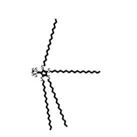 CCCCCCCCCCCCCCCCCCSC1=C(SCCCCCCCCCCCCCCCCCC)C(=C2SSSS2)C(SCCCCCCCCCCCCCCCCCC)=C1SCCCCCCCCCCCCCCCCCC